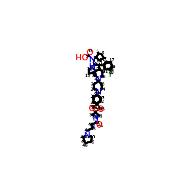 O=C(O)N[C@H]1CCC[C@@H]1C(CN1CCC1)(c1cccc(F)c1)C1CCN(C2CCN(c3ccc(S(=O)(=O)C4CN(C(=O)/C=C/CN5CCCCC5)C4)cc3)CC2)CC1